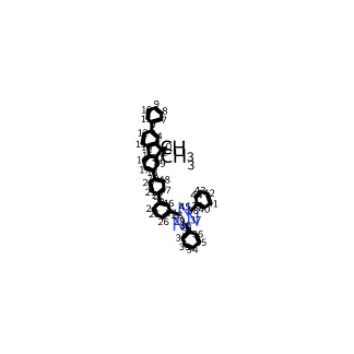 CC1(C)c2cc(-c3ccccc3)ccc2-c2ccc(-c3ccc(-c4cccc(-c5nc(-c6ccccc6)nc(-c6ccccc6)n5)c4)cc3)cc21